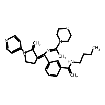 C=C(NCCCC)c1cccc(C(/N=C(\C)N2CCOCC2)=C2\CCN(c3ccncc3)C2=C)c1